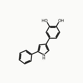 Oc1ccc(-c2c[nH]c(-c3ccccc3)c2)cc1O